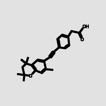 Cc1cc2c(cc1C#Cc1ccc(CC(=O)O)cc1)C(C)(C)CC(C)(C)O2